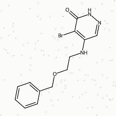 O=c1[nH]ncc(NCCOCc2ccccc2)c1Br